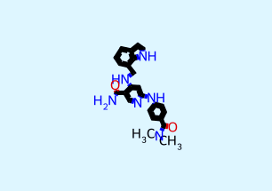 CN(C)C(=O)c1ccc(Nc2cc(NCc3cccc4cc[nH]c34)c(C(N)=O)cn2)cc1